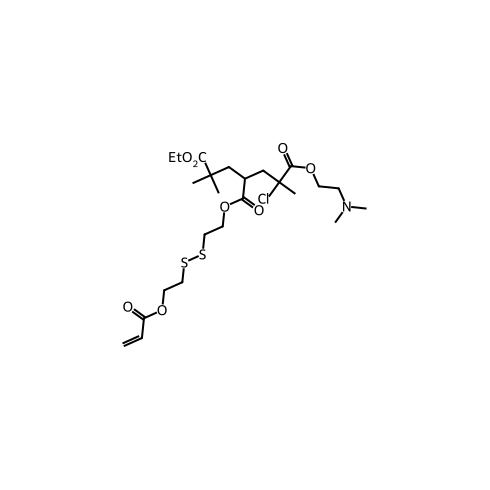 C=CC(=O)OCCSSCCOC(=O)C(CC(C)(C)C(=O)OCC)CC(C)(Cl)C(=O)OCCN(C)C